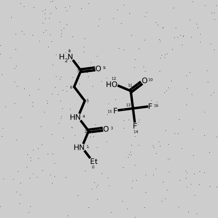 CCNC(=O)NCCC(N)=O.O=C(O)C(F)(F)F